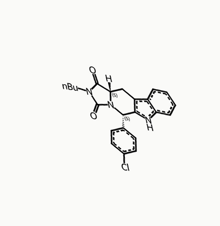 CCCCN1C(=O)[C@@H]2Cc3c([nH]c4ccccc34)[C@H](c3ccc(Cl)cc3)N2C1=O